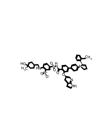 CCc1ccccc1[C@H]1CCCN1c1ccc(-c2ccc(C(=O)NS(=O)(=O)c3ccc(NCC4CCC(C)(O)CC4)c([N+](=O)[O-])c3)c(Oc3cnc4[nH]ccc4c3)c2)cc1